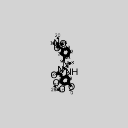 COc1cc2[nH]c(N(C)Cc3cccc(S(=O)(=O)N(C)C)c3)nc(=O)c2c(OC)c1OC